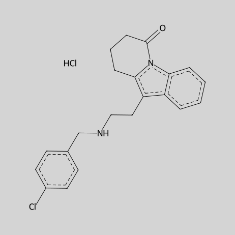 Cl.O=C1CCCc2c(CCNCc3ccc(Cl)cc3)c3ccccc3n21